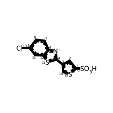 O=S(=O)(O)c1cc(-c2nc3ccc(Cl)cc3s2)cs1